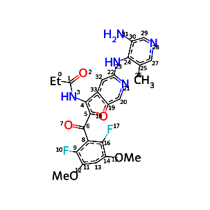 CCC(=O)Nc1c(C(=O)c2c(F)c(OC)cc(OC)c2F)oc2cnc(Nc3c(C)cncc3N)cc12